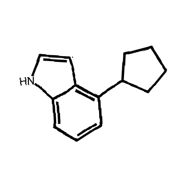 [c]1c[nH]c2cccc(C3CCCC3)c12